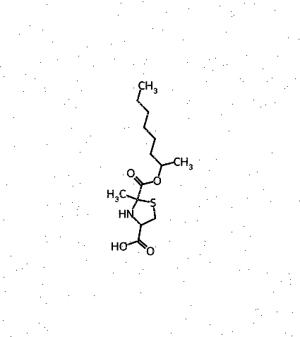 CCCCCCC(C)OC(=O)C1(C)NC(C(=O)O)CS1